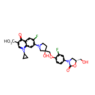 O=C(O)c1cn(C2CC2)c2cc(N3CC[C@](O)(COc4ccc(N5C[C@H](CO)OC5=O)cc4F)C3)c(F)cc2c1=O